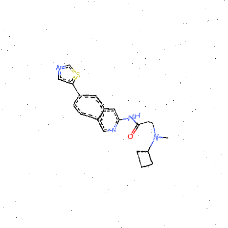 CN(CC(=O)Nc1cc2cc(-c3cncs3)ccc2cn1)C1CCC1